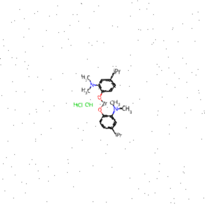 CC(C)c1ccc([O][Zr][O]c2ccc(C(C)C)cc2N(C)C)c(N(C)C)c1.Cl.Cl